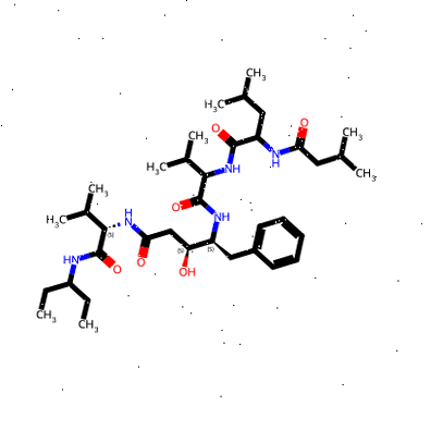 CCC(CC)NC(=O)[C@@H](NC(=O)C[C@H](O)[C@H](Cc1ccccc1)NC(=O)C(NC(=O)C(CC(C)C)NC(=O)CC(C)C)C(C)C)C(C)C